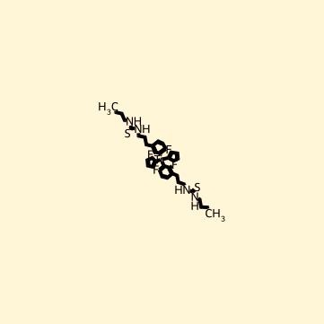 CCCCNC(=S)NCCCc1ccc(F)[c]([Ti]([C]2=CC=CC2)([C]2=CC=CC2)[c]2c(F)ccc(CCCNC(=S)NCCCC)c2F)c1F